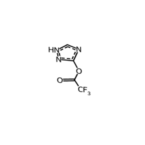 O=C(Oc1nc[nH]n1)C(F)(F)F